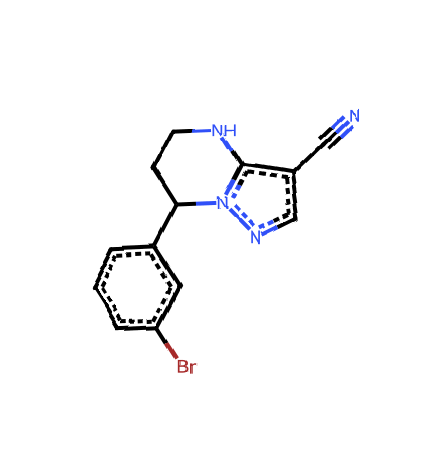 N#Cc1cnn2c1NCCC2c1cccc(Br)c1